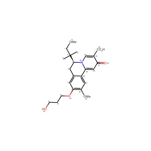 COCC(C)(C)[C@@H]1Cc2cc(OCCCO)c(OC)cc2-c2cc(=O)c(C(=O)O)cn21